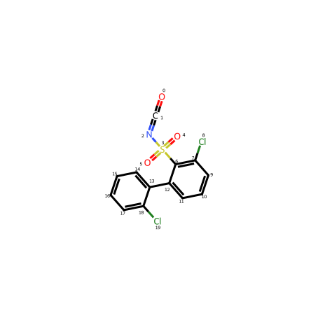 O=C=NS(=O)(=O)c1c(Cl)cccc1-c1ccccc1Cl